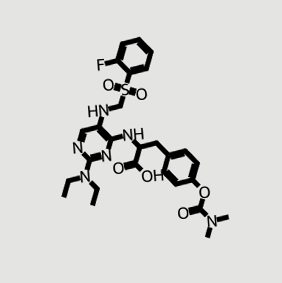 CCN(CC)c1ncc(NCS(=O)(=O)c2ccccc2F)c(NC(Cc2ccc(OC(=O)N(C)C)cc2)C(=O)O)n1